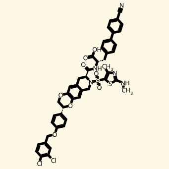 CNc1nc(C)c(S(=O)(=O)N2Cc3cc4c(cc3C[C@H]2C(=O)N[C@@H](Cc2ccc(-c3ccc(C#N)cc3)cc2)C(=O)O)OC[C@@H](c2ccc(OCc3ccc(Cl)c(Cl)c3)cc2)O4)s1